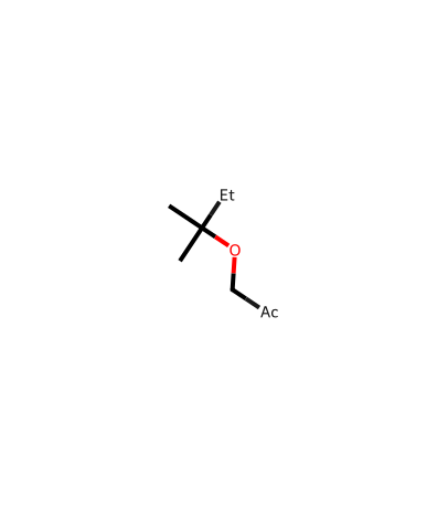 CCC(C)(C)OCC(C)=O